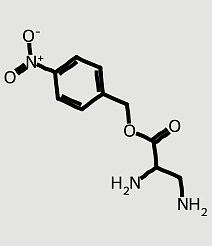 NCC(N)C(=O)OCc1ccc([N+](=O)[O-])cc1